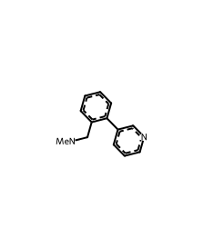 CNCc1ccccc1-c1cccnc1